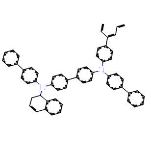 C=C/C=C(\C=C)c1ccc(N(c2ccc(-c3ccccc3)cc2)c2ccc(-c3ccc(N(c4ccc(-c5ccccc5)cc4)C4CC=Cc5ccccc54)cc3)cc2)cc1